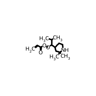 C=CC(=O)OOC(C(C)C)C1CCNC(C)(C)C1